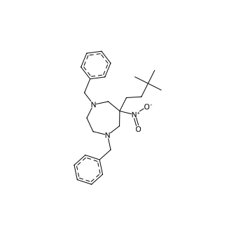 CC(C)(C)CCC1([N+](=O)[O-])CN(Cc2ccccc2)CCN(Cc2ccccc2)C1